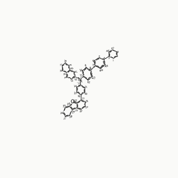 c1ccc(-c2ccc(-c3ccc(N(c4ccc(-c5cccc6c5oc5ccccc56)cc4)c4ccc5ccccc5c4)cc3)cc2)cc1